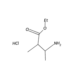 CCOC(=O)C(C)C(C)N.Cl